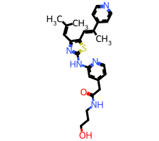 CC(C)=Cc1nc(Nc2cc(CC(=O)NCCCO)ccn2)sc1/C=C(\C)c1ccncc1